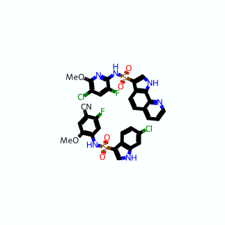 COc1cc(C#N)c(F)cc1NS(=O)(=O)c1c[nH]c2cc(Cl)ccc12.COc1nc(NS(=O)(=O)c2c[nH]c3c2ccc2cccnc23)c(F)cc1Cl